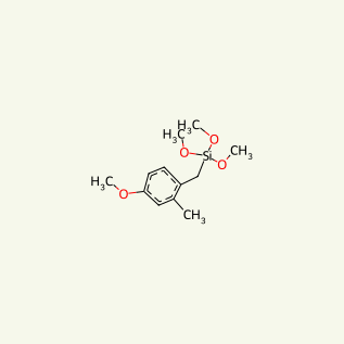 COc1ccc(C[Si](OC)(OC)OC)c(C)c1